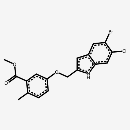 COC(=O)c1cc(OCc2cc3cc(Br)c(Cl)cc3[nH]2)ccc1C